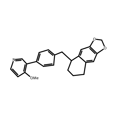 COc1ccncc1-c1ccc(CC2CCCc3cc4c(cc32)OCO4)cc1